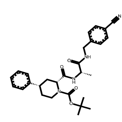 C[C@H](NC(=O)[C@H]1C[C@@H](c2ccccc2)CCN1C(=O)OC(C)(C)C)C(=O)NCc1ccc(C#N)cc1